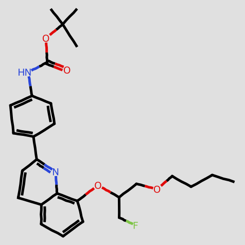 CCCCOCC(CF)Oc1cccc2ccc(-c3ccc(NC(=O)OC(C)(C)C)cc3)nc12